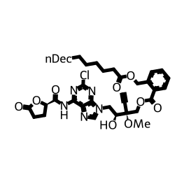 C#C[C@](COC(=O)c1ccccc1COC(=O)CCCCCCCCCCCCCCC)(OC)[C@@H](O)Cn1cnc2c(NC(=O)[C@H]3CCC(=O)O3)nc(Cl)nc21